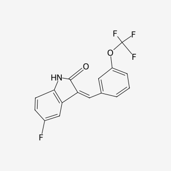 O=C1Nc2ccc(F)cc2C1=Cc1cccc(OC(F)(F)F)c1